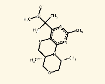 Cc1nc2c(c(C(C)(C)[S+](C)[O-])n1)OC[C@]1(C)COC[C@@H](C)N21